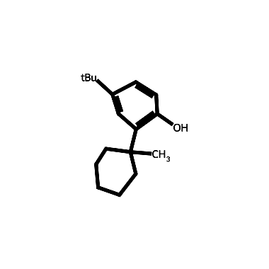 CC(C)(C)c1ccc(O)c(C2(C)CCCCC2)c1